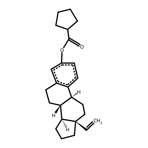 C=C[C@@]12CCC[C@H]1[C@@H]1CCc3cc(OC(=O)C4CCCC4)ccc3[C@H]1CC2